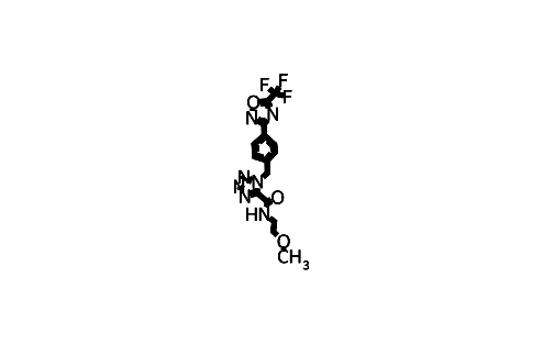 COCCNC(=O)c1nnnn1Cc1ccc(-c2noc(C(F)(F)F)n2)cc1